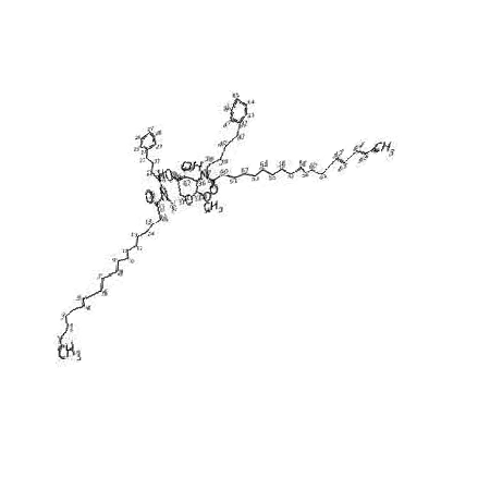 CCCCCCCCCCCCCCCCCC(=O)N(CCCCc1ccccc1)C[C@H]1O[C@H](OC)[C@H](N(CCCCc2ccccc2)C(=O)CCCCCCCCCCCCCCCCC)[C@@H](O)[C@@H]1O